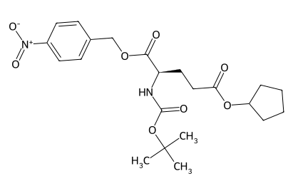 CC(C)(C)OC(=O)N[C@H](CCC(=O)OC1CCCC1)C(=O)OCc1ccc([N+](=O)[O-])cc1